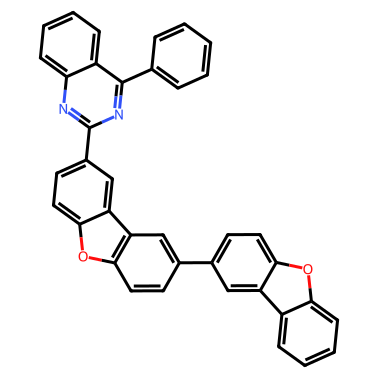 c1ccc(-c2nc(-c3ccc4oc5ccc(-c6ccc7oc8ccccc8c7c6)cc5c4c3)nc3ccccc23)cc1